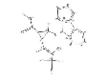 COC(=O)C1C(C(C)=C(Cl)C(F)(F)F)C1(C)C.c1ccc2c(c1)Cc1ccccc1-2